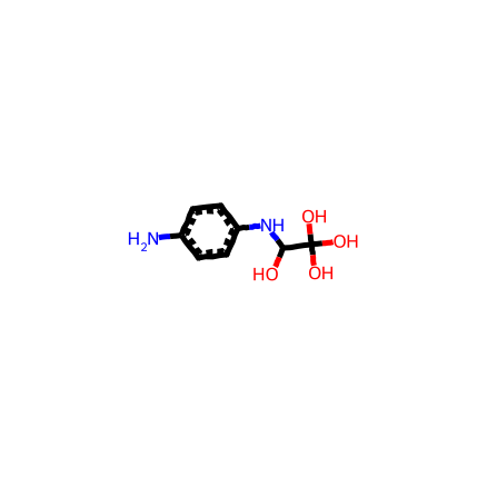 Nc1ccc(NC(O)C(O)(O)O)cc1